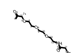 CC(=O)[C@H](C)OCCOCCOCCNC(=O)CBr